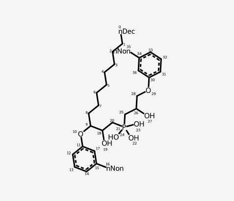 CCCCCCCCCCCCCCCCCCC(Oc1cccc(CCCCCCCCC)c1)C(O)CP(O)(O)(O)CC(O)COc1cccc(CCCCCCCCC)c1